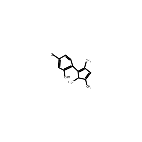 CC1=CC(C)=C(c2ccc(Cl)cc2C=O)C1C